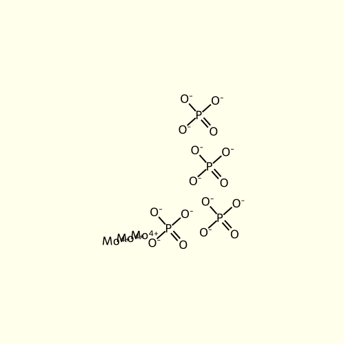 O=P([O-])([O-])[O-].O=P([O-])([O-])[O-].O=P([O-])([O-])[O-].O=P([O-])([O-])[O-].[Mo+4].[Mo+4].[Mo+4]